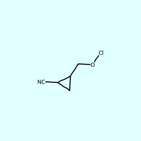 N#CC1CC1COCl